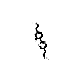 C=CCC1=CC=C(c2ncc(CC=C)cn2)C(=O)C1